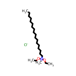 CCCCCCCCCCCCCCCCCC[N+](C)(OCC)OCC.[Cl-]